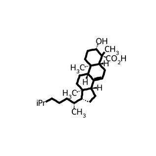 CC(C)CCC[C@@H](C)[C@H]1CC[C@H]2C3=CC[C@@H]4[C@](C)(CC[C@H](O)[C@]4(C)C(=O)O)[C@H]3CC[C@]12C